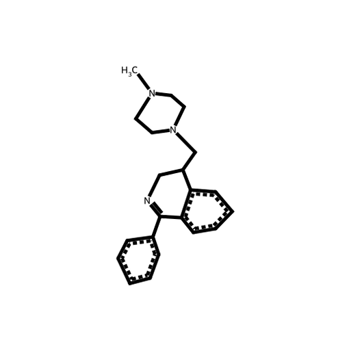 CN1CCN(CC2CN=C(c3ccccc3)c3ccccc32)CC1